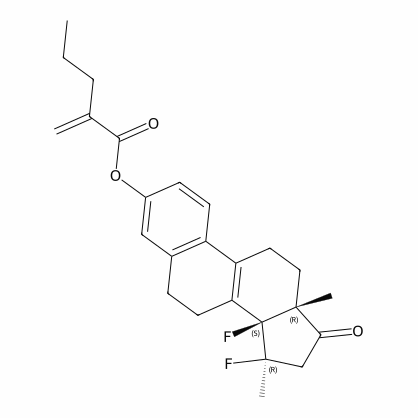 C=C(CCC)C(=O)Oc1ccc2c(c1)CCC1=C2CC[C@]2(C)C(=O)C[C@@](C)(F)[C@]12F